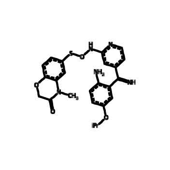 CC(C)Oc1ccc(N)c(C(=N)c2ccnc(NOSc3ccc4c(c3)N(C)C(=O)CO4)c2)c1